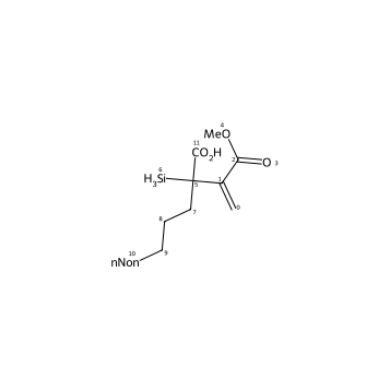 C=C(C(=O)OC)C([SiH3])(CCCCCCCCCCCC)C(=O)O